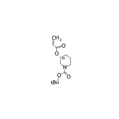 C=CC(=O)O[C@@H]1CCCN(C(=O)OC(C)(C)C)C1